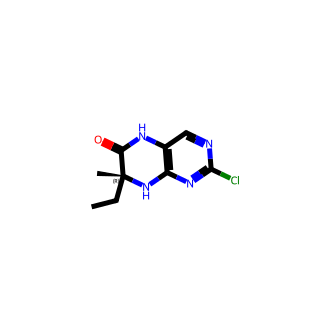 CC[C@@]1(C)Nc2nc(Cl)ncc2NC1=O